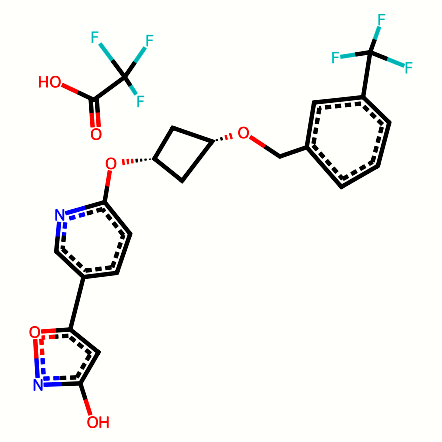 O=C(O)C(F)(F)F.Oc1cc(-c2ccc(O[C@H]3C[C@@H](OCc4cccc(C(F)(F)F)c4)C3)nc2)on1